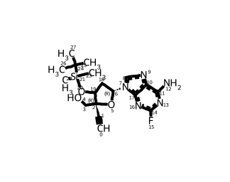 C#C[C@]1(CO)O[C@@H](n2cnc3c(N)nc(F)nc32)CC1O[Si](C)(C)C(C)(C)C